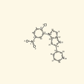 O=[N+]([O-])c1ccc(Cl)c(-n2ccn3nc(-c4cccnc4)cc23)c1